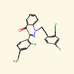 Cc1ccc(-c2nn(Cc3ccc(F)cc3F)c3ccccc3c2=O)c(F)c1